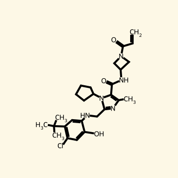 C=CC(=O)N1CC(NC(=O)c2c(C)nc(CNc3cc(C(C)(C)C)c(Cl)cc3O)n2C2CCCC2)C1